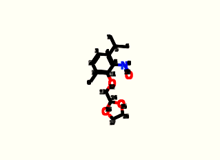 Cc1ccc(C(C)C)c(N=O)c1OCC1OCCO1